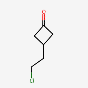 O=C1CC(CCCl)C1